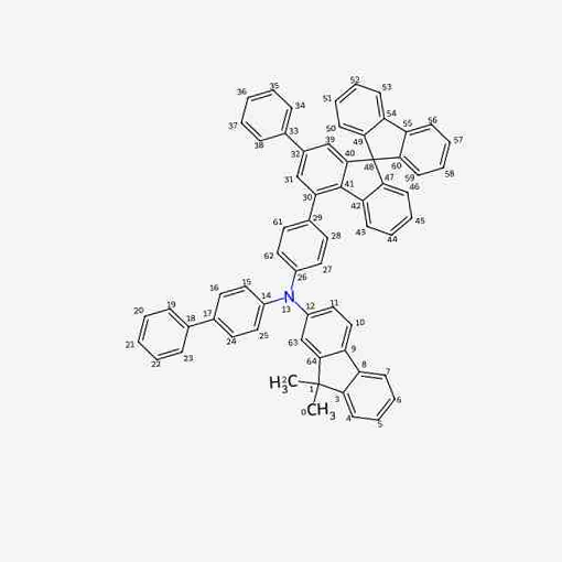 CC1(C)c2ccccc2-c2ccc(N(c3ccc(-c4ccccc4)cc3)c3ccc(-c4cc(-c5ccccc5)cc5c4-c4ccccc4C54c5ccccc5-c5ccccc54)cc3)cc21